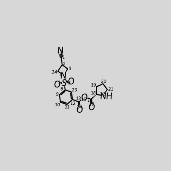 N#CC1CN(S(=O)(=O)c2cccc(C(=O)OC(=O)[C@H]3CCCN3)c2)C1